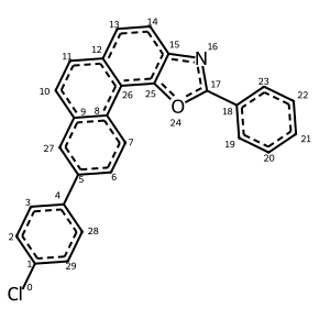 Clc1ccc(-c2ccc3c(ccc4ccc5nc(-c6ccccc6)oc5c43)c2)cc1